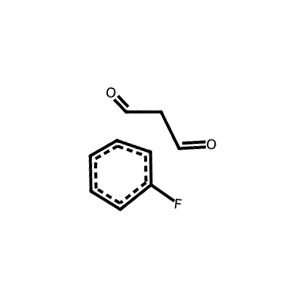 Fc1ccccc1.O=CCC=O